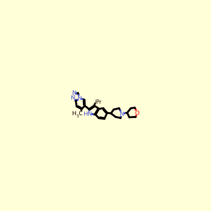 Cc1cc2nncn2cc1-c1[nH]c2ccc(C3CCN(C4CCOCC4)CC3)cc2c1C(C)C